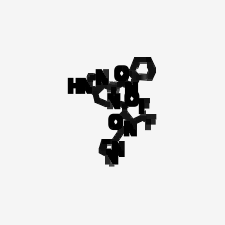 Cn1ccc(-c2nc(C(F)F)c(C(=O)N3CCc4[nH]cnc4[C@H]3c3nc4ccccc4o3)o2)n1